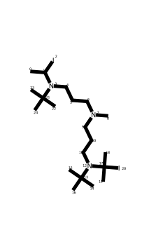 CC(I)N(CCCN(C)CCCN(C(C)(C)C)C(C)(C)I)C(C)(C)C